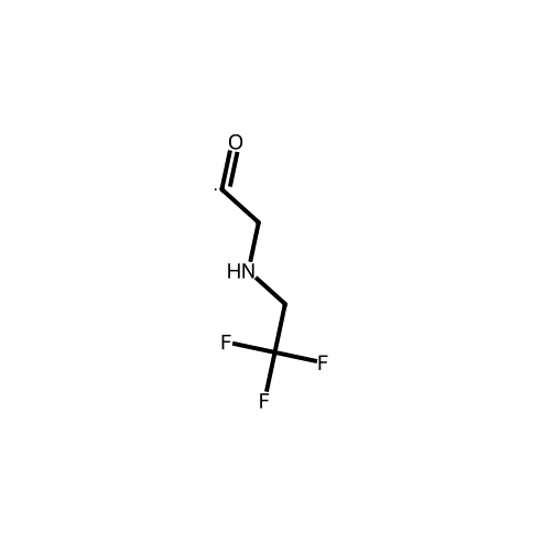 O=[C]CNCC(F)(F)F